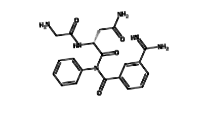 N=C(N)c1cccc(C(=O)N(C(=O)[C@@H](CC(N)=O)NC(=O)CN)c2ccccc2)c1